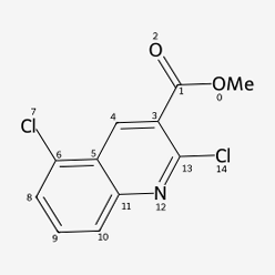 COC(=O)c1cc2c(Cl)cccc2nc1Cl